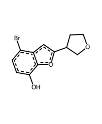 Oc1ccc(Br)c2cc(C3CCOC3)oc12